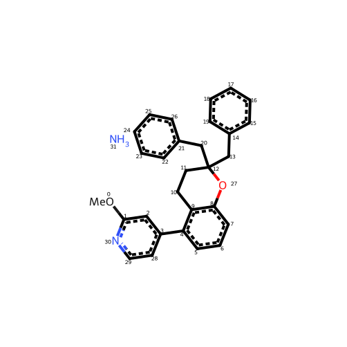 COc1cc(-c2cccc3c2CCC(Cc2ccccc2)(Cc2ccccc2)O3)ccn1.N